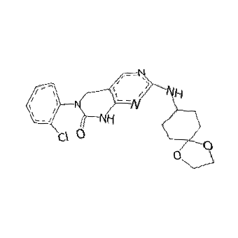 O=C1Nc2nc(NC3CCC4(CC3)OCCO4)ncc2CN1c1ccccc1Cl